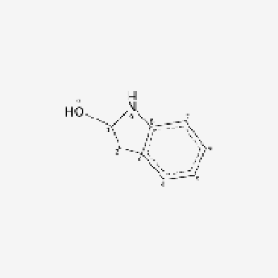 OC1Cc2ccccc2N1